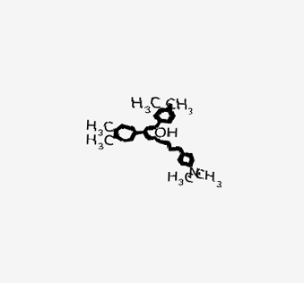 CC1=C(C)CC=C(C(/C=C(\O)c2ccc(C)c(C)c2)=C/C/C=C/C=C/c2ccc(N(C)C)cc2)C=C1